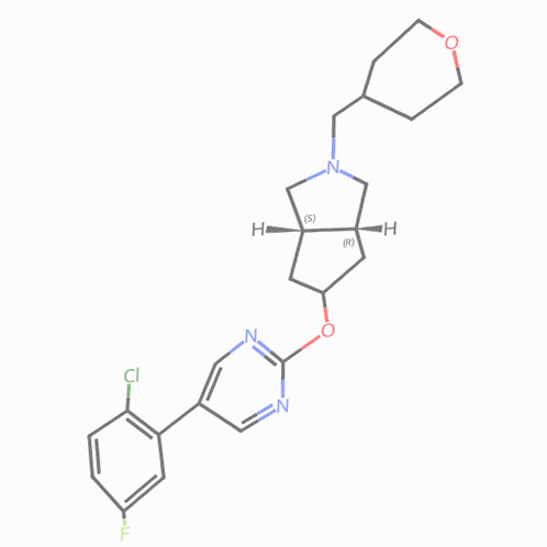 Fc1ccc(Cl)c(-c2cnc(OC3C[C@@H]4CN(CC5CCOCC5)C[C@@H]4C3)nc2)c1